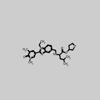 CCn1c(-c2cc(C)c(=O)n(C)c2)nc2cc(CNC(CC(C)C)C(=O)OC3CCOC3)ccc21